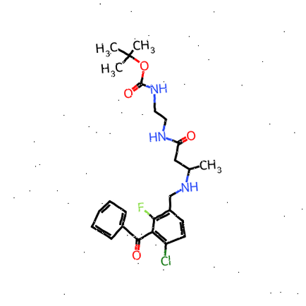 CC(CC(=O)NCCNC(=O)OC(C)(C)C)NCc1ccc(Cl)c(C(=O)c2ccccc2)c1F